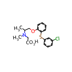 CC(COc1ccccc1Sc1cccc(Cl)c1)N(C)CC(=O)O